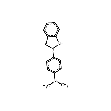 CN(C)c1ccc(N2Nc3ccccc3S2)cc1